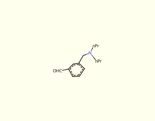 CCCN(CCC)Cc1cccc(C=O)c1